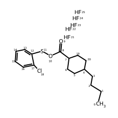 CCCCC1CCC(C(=O)OSc2ccccc2Cl)CC1.F.F.F.F.F